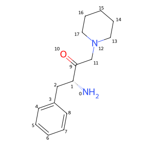 N[C@H](Cc1ccccc1)C(=O)CN1CCCCC1